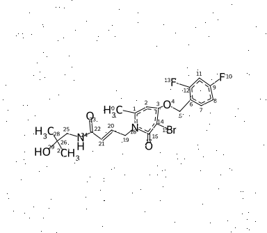 Cc1cc(OCc2ccc(F)cc2F)c(Br)c(=O)n1CC=CC(=O)NCC(C)(C)O